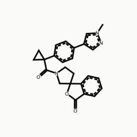 Cn1cc(-c2ccc(C3(C(=O)N4CCC5(C4)OC(=O)c4ccccc45)CC3)cc2)cn1